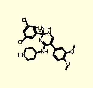 COc1ccc(C2=CNC(N)(c3cc(Cl)cc(Cl)c3)N=C2NC2CCNCC2)cc1OC